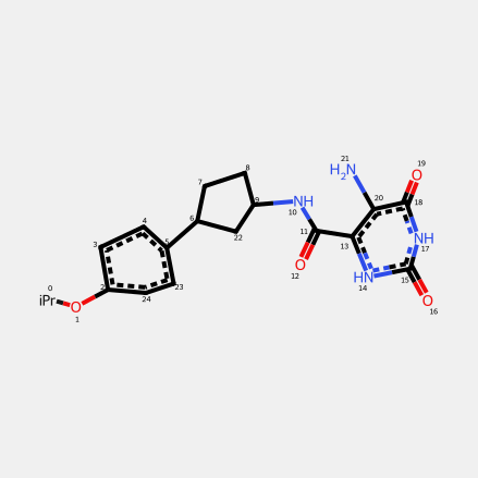 CC(C)Oc1ccc(C2CCC(NC(=O)c3[nH]c(=O)[nH]c(=O)c3N)C2)cc1